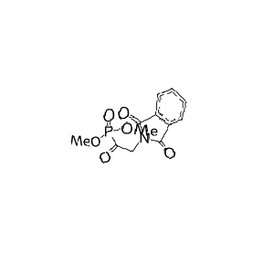 COP(=O)(OC)C(=O)CN1C(=O)c2ccccc2C1=O